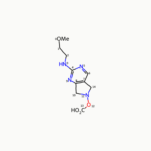 COCCNc1ncc2c(n1)CN(OC(=O)O)C2